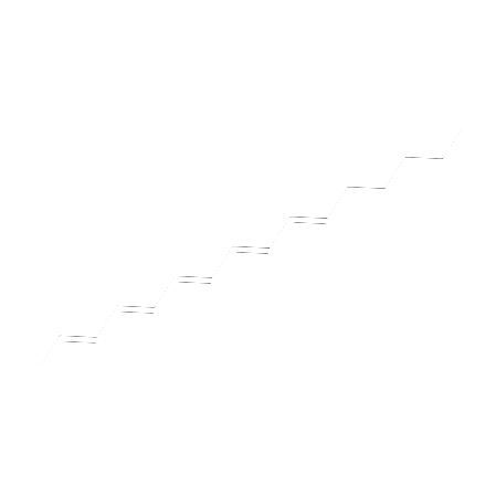 [CH2]/C=C/C=C/C=C/C=C/C=C/CCCCC